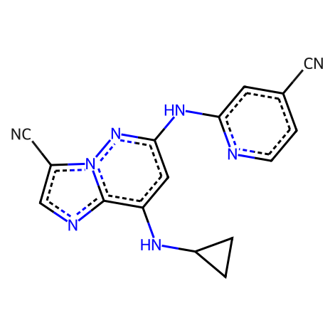 N#Cc1ccnc(Nc2cc(NC3CC3)c3ncc(C#N)n3n2)c1